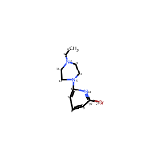 CCN1CCN(c2cccc(Br)n2)CC1